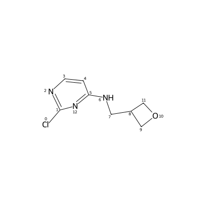 Clc1nccc(NCC2COC2)n1